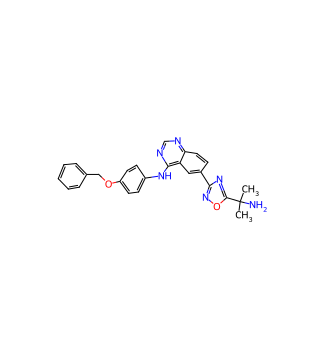 CC(C)(N)c1nc(-c2ccc3ncnc(Nc4ccc(OCc5ccccc5)cc4)c3c2)no1